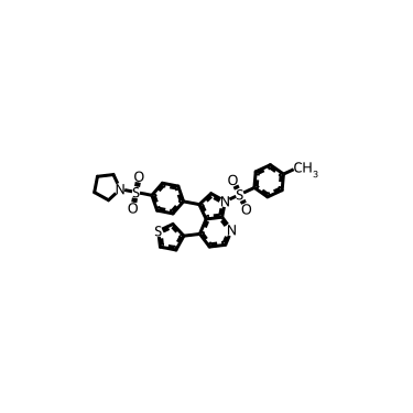 Cc1ccc(S(=O)(=O)n2cc(-c3ccc(S(=O)(=O)N4CCCC4)cc3)c3c(-c4ccsc4)ccnc32)cc1